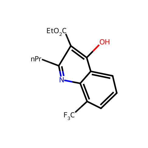 CCCc1nc2c(C(F)(F)F)cccc2c(O)c1C(=O)OCC